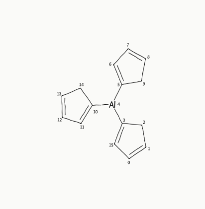 C1=CC[C]([Al]([C]2=CC=CC2)[C]2=CC=CC2)=C1